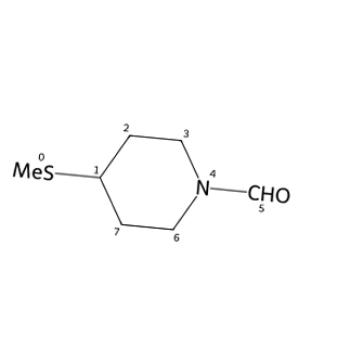 CSC1CCN(C=O)CC1